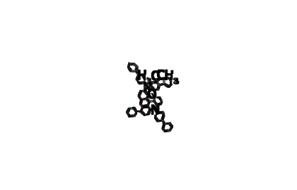 CC1(C)c2ccccc2-c2ccc(N(c3ccc(-c4ccccc4)cc3)c3ccc4cccc5c4c3OC3C=CC=C(N(c4ccc(-c6ccccc6)cc4)c4ccc(-c6ccccc6)cc4)C53)cc21